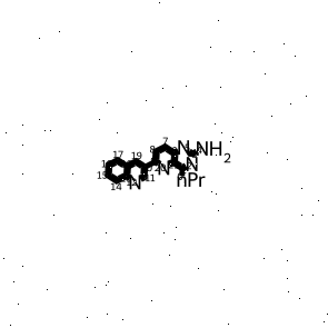 CCCc1nc(N)nc2ccc(-c3cnc4ccccc4c3)nc12